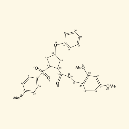 COc1ccc(S(=O)(=O)N2CC(Oc3ccccc3)CC2C(=O)NCc2ccc(OC)cc2OC)cc1